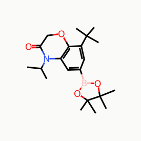 CC(C)N1C(=O)COc2c1cc(B1OC(C)(C)C(C)(C)O1)cc2C(C)(C)C